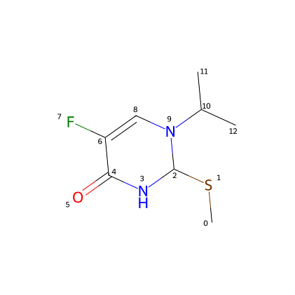 CSC1NC(=O)C(F)=CN1C(C)C